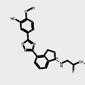 CC(F)CN[C@H]1CCc2c(-c3noc(-c4ccc(OC(C)C)c(C#N)c4)n3)cccc21